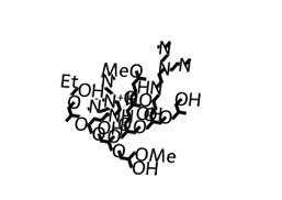 CCC(O)COCC(C)COC(COCC(COCC(CO)COC)OCC(COCC(COCC(C)CO)OCC(O)CNCCN(CCN(C)C)CCN(C)C)OCCC(CO)OCCC(C)OC)CC(O)CNCC[N+](C)(CCN(C)C)CCN(C)C